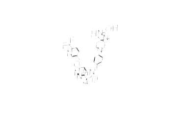 CN1C(O)NCC12CCN(c1ccc(CNC(=O)C3(c4ccc(OCc5ccc(C(F)F)nc5)nn4)CC3)cc1)CC2